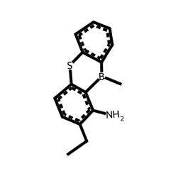 CCc1ccc2c(c1N)B(C)c1ccccc1S2